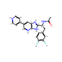 CC(=O)N[C@@H](Cc1ccc(F)c(F)c1)c1nc2cc(-c3ccncc3)cnc2[nH]1